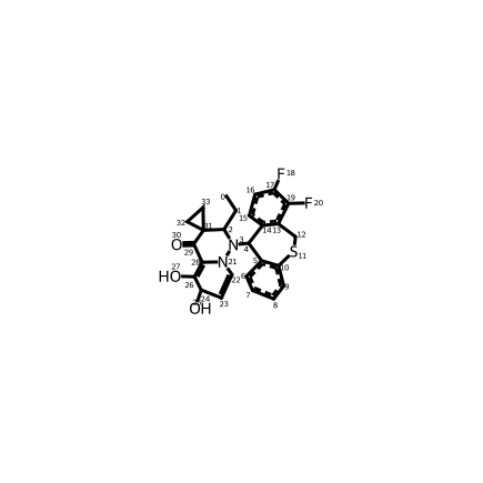 CCC1N(C2c3ccccc3SCc3c2ccc(F)c3F)N2C=CC(O)C(O)=C2C(=O)C12CC2